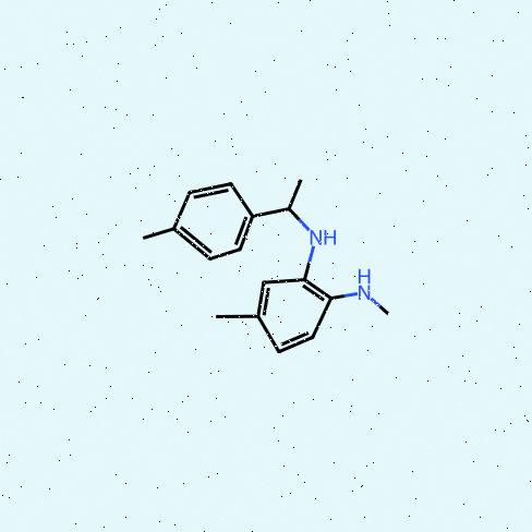 CNc1ccc(C)cc1NC(C)c1ccc(C)cc1